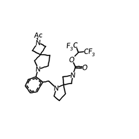 CC(=O)N1CC2(CCN(c3ccccc3CN3CCCC34CN(C(=O)OC(C(F)(F)F)C(F)(F)F)C4)C2)C1